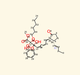 CC/C=C/[C@H]1CCC(=O)[C@@H]1CC=C=CC([16OH])([16OH])C(OCCCCCC)(Oc1ccccc1)C(=O)OC